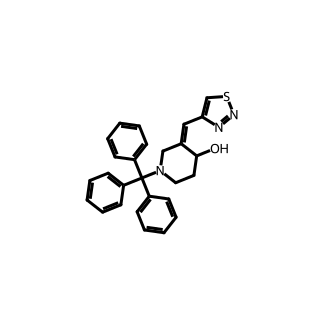 OC1CCN(C(c2ccccc2)(c2ccccc2)c2ccccc2)CC1=Cc1csnn1